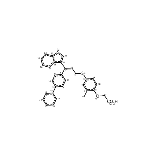 Cc1cc(SCC=C(c2ccc(-c3ccccc3)cc2)c2csc3ccccc23)ccc1OCC(=O)O